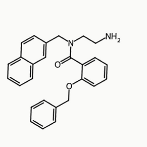 NCCN(Cc1ccc2ccccc2c1)C(=O)c1ccccc1OCc1ccccc1